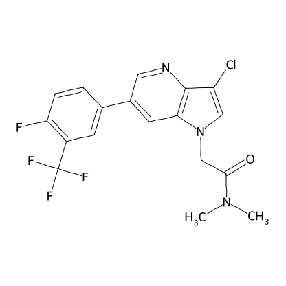 CN(C)C(=O)Cn1cc(Cl)c2ncc(-c3ccc(F)c(C(F)(F)F)c3)cc21